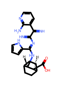 N=C(/N=C(/N[C@H]1C2CCC(CC2)[C@@H]1C(=O)O)c1ccc[nH]1)C(=N)c1cccnc1N